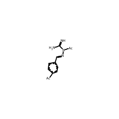 CC(=O)c1ccc(C=NN(C(=N)N)C(C)=O)cc1